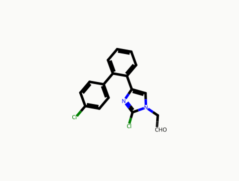 O=CCn1cc(-c2ccccc2-c2ccc(Cl)cc2)nc1Cl